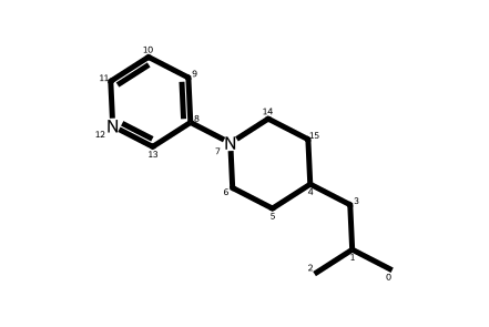 CC(C)CC1CCN(c2cccnc2)CC1